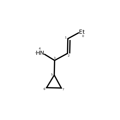 CC/C=C/C([NH])C1CC1